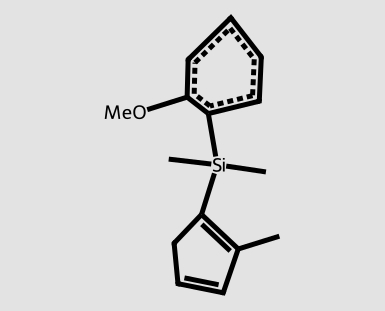 COc1ccccc1[Si](C)(C)C1=C(C)C=CC1